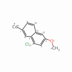 COc1ccc2c[c]([Cd+])ccc2c1.[Cl-]